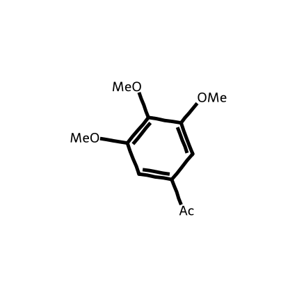 [CH2]C(=O)c1cc(OC)c(OC)c(OC)c1